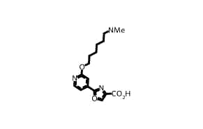 CNCCCCCCOc1cc(-c2nc(C(=O)O)co2)ccn1